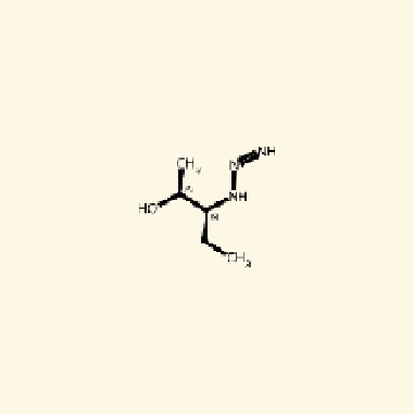 CC[C@H](NN=N)[C@H](C)O